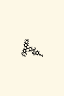 N#Cc1ccc2c(c1)nnn2C(=O)N1CCN(C(c2ccc3c(c2)OCCO3)c2ccc3c(c2)OCCO3)CC1